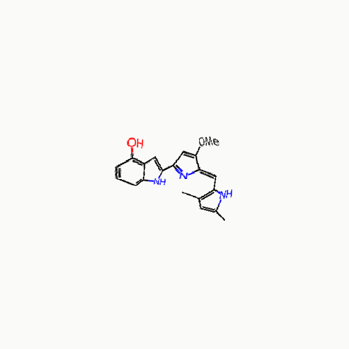 COC1=CC(c2cc3c(O)cccc3[nH]2)=N/C1=C\c1[nH]c(C)cc1C